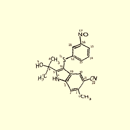 Cc1cc2[nH]c(C(C)(C)O)c(Sc3cccc(N=O)c3)c2cc1C#N